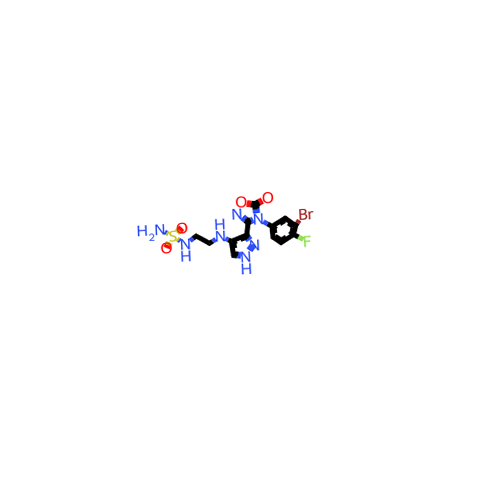 NS(=O)(=O)NCCNc1c[nH]nc1-c1noc(=O)n1-c1ccc(F)c(Br)c1